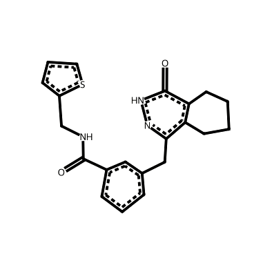 O=C(NCc1cccs1)c1cccc(Cc2n[nH]c(=O)c3c2CCCC3)c1